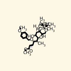 COC(=O)/C=C/[C@H](OCc1ccc(OC)cc1)[C@@H](C)[C@@H]1O[C@@H]2CO[Si](C(C)(C)C)(C(C)(C)C)O[C@@H]2C[C@@H]1O